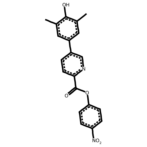 Cc1cc(-c2ccc(C(=O)Oc3ccc([N+](=O)[O-])cc3)nc2)cc(C)c1O